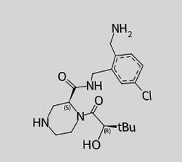 CC(C)(C)[C@@H](O)C(=O)N1CCNC[C@H]1C(=O)NCc1cc(Cl)ccc1CN